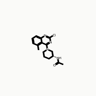 CC(=O)N[C@@H]1CCCN(c2nc(Cl)nc3cccc(C)c23)C1